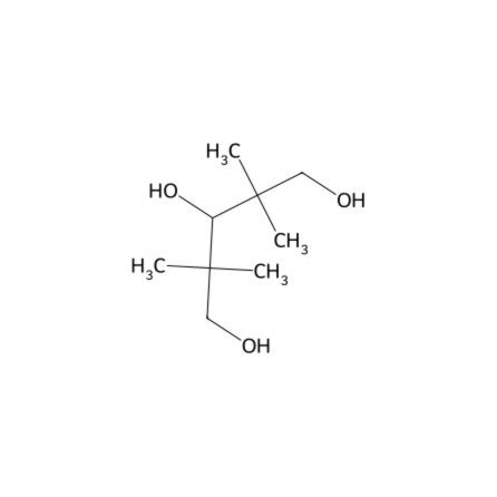 CC(C)(CO)C(O)C(C)(C)CO